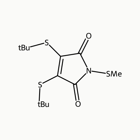 CSN1C(=O)C(SC(C)(C)C)=C(SC(C)(C)C)C1=O